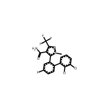 Cn1nc(C(F)(F)F)c(C(N)=O)c1-c1cc(F)ccc1-c1cccc(Cl)c1Cl